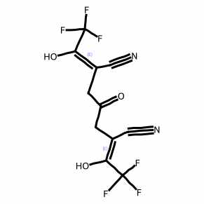 N#C/C(CC(=O)C/C(C#N)=C(\O)C(F)(F)F)=C(/O)C(F)(F)F